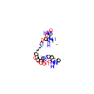 CNc1cc(OC2CCN(CCCCC3CCC(Oc4cccc(-c5ccc(N6CCc7cccc(C(=O)Nc8nc9ccccc9s8)c7C6)nc5C(=O)O)c4C)CC3)CC2)ccc1C(=N)C1CCC(=O)NC1=O